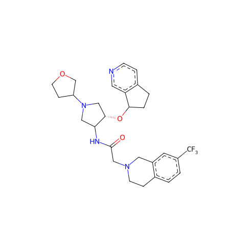 O=C(CN1CCc2ccc(C(F)(F)F)cc2C1)NC1CN(C2CCOC2)C[C@@H]1OC1CCc2ccncc21